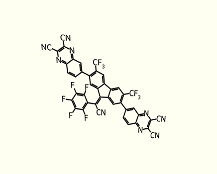 N#CC(=C1c2cc(-c3ccc4nc(C#N)c(C#N)nc4c3)c(C(F)(F)F)cc2-c2cc(C(F)(F)F)c(-c3ccc4nc(C#N)c(C#N)nc4c3)cc21)c1c(F)c(F)c(F)c(F)c1F